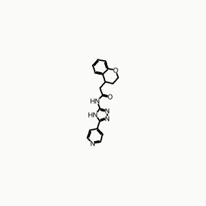 O=C(CC1CCOc2ccccc21)Nc1nnc(-c2ccncc2)[nH]1